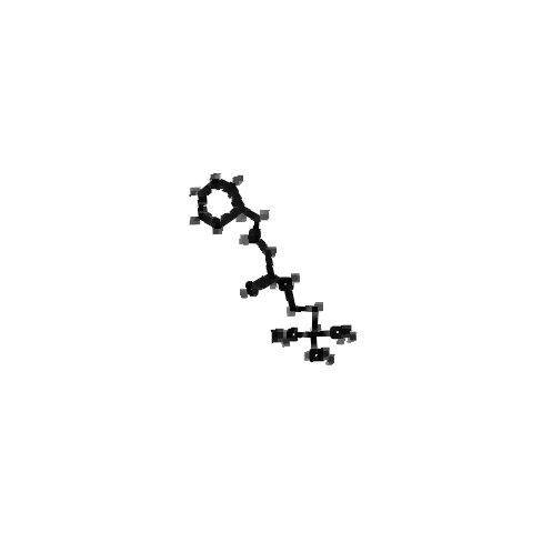 CC(C)(C)CCOC(=O)COCc1ccccc1